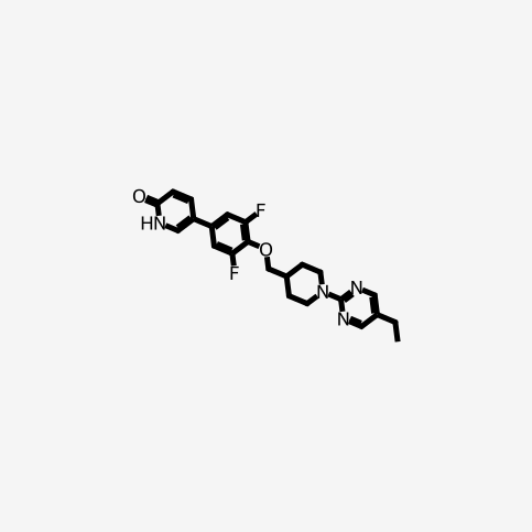 CCc1cnc(N2CCC(COc3c(F)cc(-c4ccc(=O)[nH]c4)cc3F)CC2)nc1